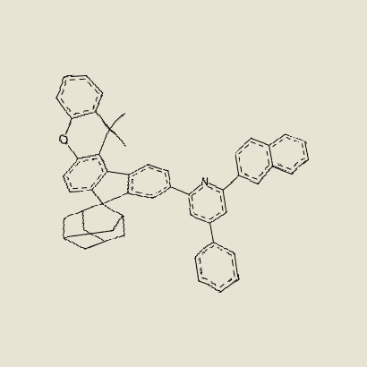 CC1(C)c2ccccc2Oc2ccc3c(c21)-c1ccc(-c2cc(-c4ccccc4)cc(-c4ccc5ccccc5c4)n2)cc1C31C2CC3CC(C2)CC1C3